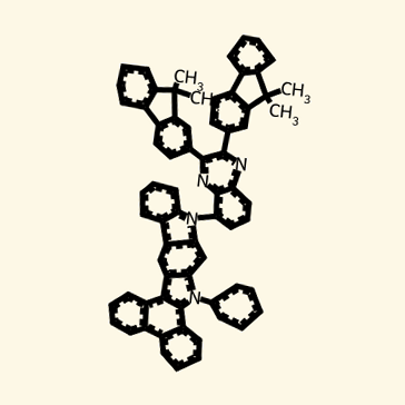 CC1(C)c2ccccc2-c2ccc(-c3nc4cccc(-n5c6ccccc6c6cc7c8c9ccccc9c9ccccc9c8n(-c8ccccc8)c7cc65)c4nc3-c3ccc4c(c3)C(C)(C)c3ccccc3-4)cc21